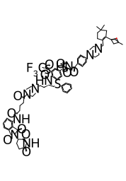 CC1(C)CCC(CN2CCN(c3ccc(C(=O)NS(=O)(=O)c4ccc(N[C@H](CCN5CCN(C(=O)CCCC(=O)Nc6cccc7c6C(=O)N(C6CCC(=O)NC6=O)C7=O)CC5)CSc5ccccc5)c(S(=O)(=O)C(F)(F)F)c4)cc3)CC2)=C(C23CC(C)(C2)C3)C1